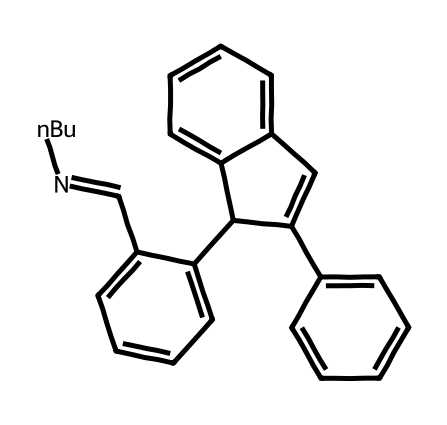 CCCCN=Cc1ccccc1C1C(c2ccccc2)=Cc2ccccc21